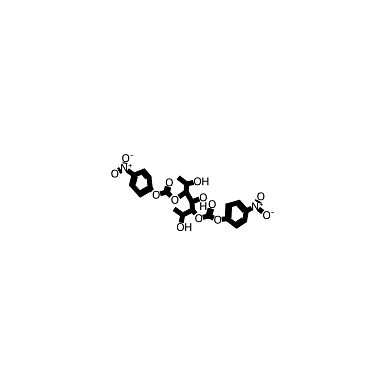 CC(O)C(OC(=O)Oc1ccc([N+](=O)[O-])cc1)C(O)C(OC(=O)Oc1ccc([N+](=O)[O-])cc1)C(C)O